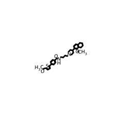 COc1c(C2CCN(CCCCNC(=O)c3ccc(-c4ccc(C(C)=O)s4)cc3)CC2)ccc2c1CCCC2